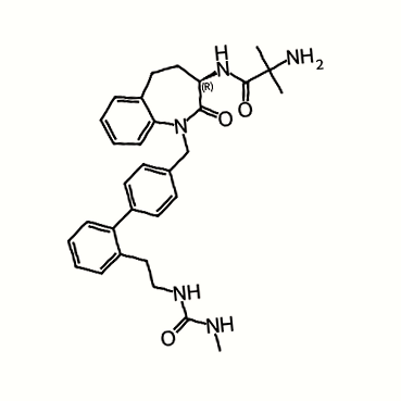 CNC(=O)NCCc1ccccc1-c1ccc(CN2C(=O)[C@H](NC(=O)C(C)(C)N)CCc3ccccc32)cc1